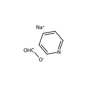 O=C[O-].[Na+].c1ccncc1